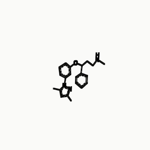 CNCCC(Oc1cccc(-n2nc(C)cc2C)c1)c1ccccc1